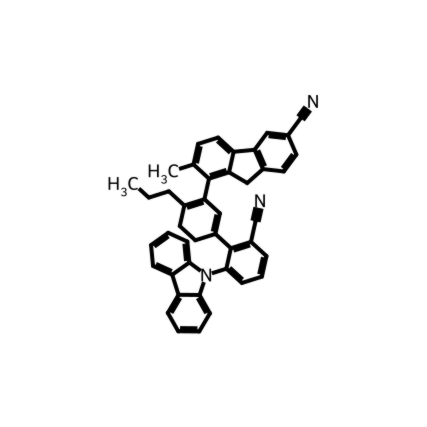 CCCC1=C(c2c(C)ccc3c2Cc2ccc(C#N)cc2-3)C=C(c2c(C#N)cccc2-n2c3ccccc3c3ccccc32)CC1